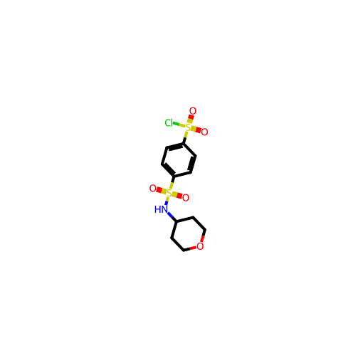 O=S(=O)(Cl)c1ccc(S(=O)(=O)NC2CCOCC2)cc1